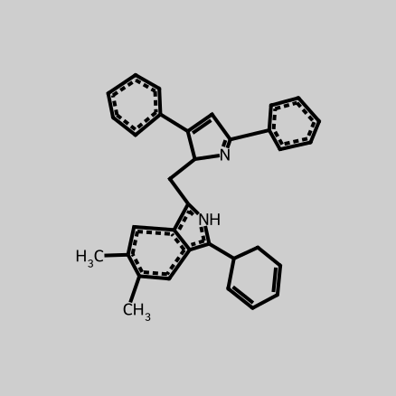 Cc1cc2c(CC3N=C(c4ccccc4)C=C3c3ccccc3)[nH]c(C3C=CC=CC3)c2cc1C